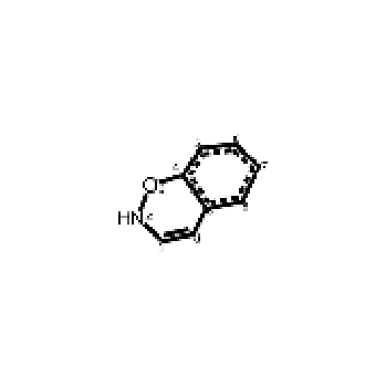 [C]1=CNOc2ccccc21